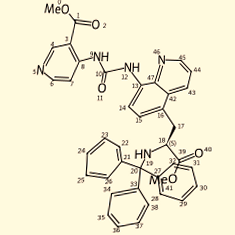 COC(=O)c1cnccc1NC(=O)Nc1ccc(C[C@H](NC(c2ccccc2)(c2ccccc2)c2ccccc2)C(=O)OC)c2cccnc12